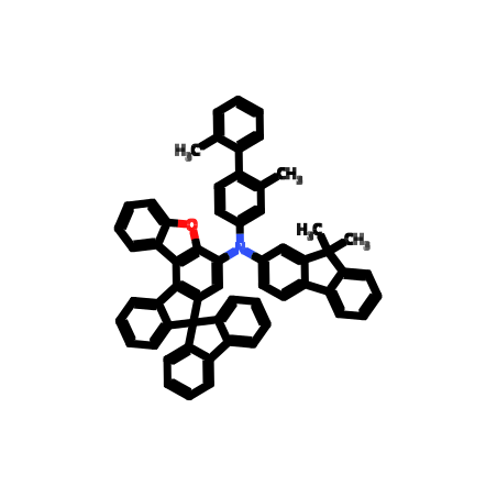 Cc1ccccc1-c1ccc(N(c2ccc3c(c2)C(C)(C)c2ccccc2-3)c2cc3c(c4c2oc2ccccc24)-c2ccccc2C32c3ccccc3-c3ccccc32)cc1C